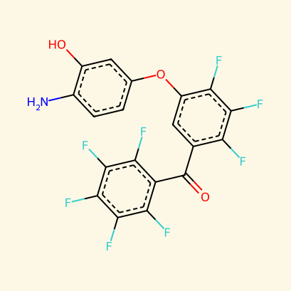 Nc1ccc(Oc2cc(C(=O)c3c(F)c(F)c(F)c(F)c3F)c(F)c(F)c2F)cc1O